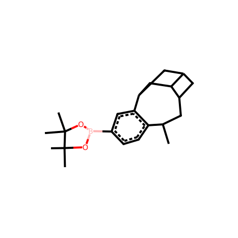 CC1CC2CC3CC(CC23)c2cc(B3OC(C)(C)C(C)(C)O3)ccc21